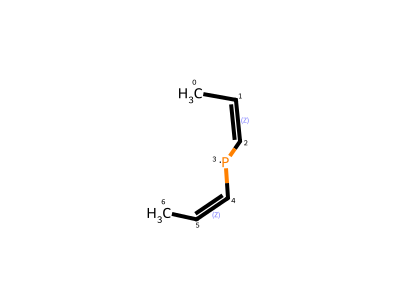 C/C=C\[P]/C=C\C